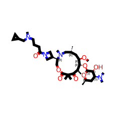 CO[C@@H]1C[C@@H](C)CN(C)[C@H](C2CN(C(=O)CCCN(C)CC3CC3)C2)COC(=O)C(C)(C)C(=O)[C@H](C)[C@H]1O[C@@H]1O[C@H](C)C[C@H](N(C)C)[C@H]1O